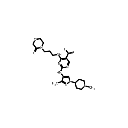 Cc1nn(C2CCN(C)CC2)cc1Nc1ncc(C(F)F)c(NCCCN2CCOCC2=O)n1